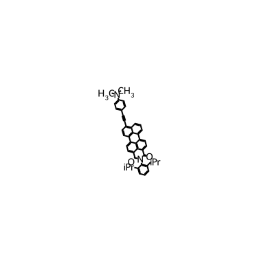 CC(C)c1cccc(C(C)C)c1N1C(=O)c2ccc3c4cccc5c(C#Cc6ccc(N(C)C)cc6)ccc(c6ccc(c2c36)C1=O)c54